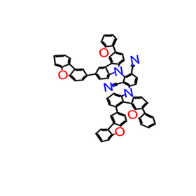 N#Cc1ccc(-n2c3cccc(-c4ccc5oc6ccccc6c5c4)c3c3c4oc5ccccc5c4ccc32)c(C#N)c1-n1c2ccc(-c3ccc4oc5ccccc5c4c3)cc2c2c3oc4ccccc4c3ccc21